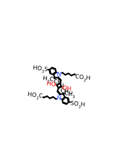 CC1(C)/C(=C\C2=C(O)C(/C=C3/N(CCCCCC(=O)O)c4ccc(S(=O)(=O)O)cc4C3(C)C)C2O)N(CCCCCC(=O)O)c2ccc(S(=O)(=O)O)cc21